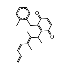 C=C/C=C\C(C)=C(/C)C(C)C1=C(Cc2ccccc2C)C(=O)C=CC1=O